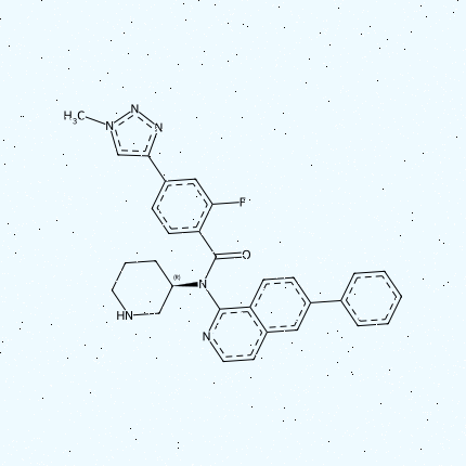 Cn1cc(-c2ccc(C(=O)N(c3nccc4cc(-c5ccccc5)ccc34)[C@@H]3CCCNC3)c(F)c2)nn1